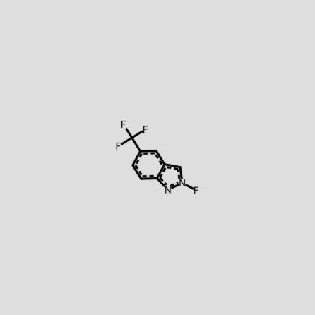 Fn1cc2cc(C(F)(F)F)ccc2n1